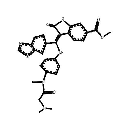 COC(=O)c1ccc2c(c1)NC(=O)C2=C(Nc1ccc(N(C)C(=O)CN(C)C)cc1)c1ccc2ncsc2c1